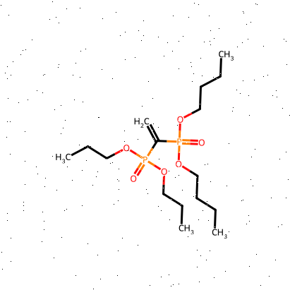 C=C(P(=O)(OCCC)OCCC)P(=O)(OCCCC)OCCCC